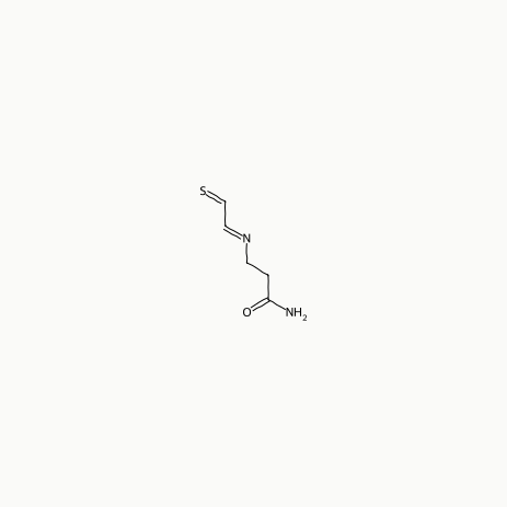 NC(=O)CCN=CC=S